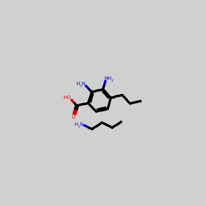 CCCCN.CCCc1ccc(C(=O)O)c(N)c1N